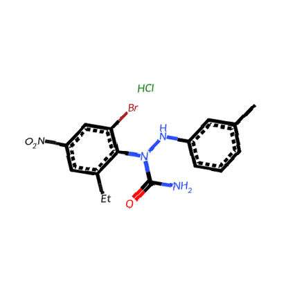 CCc1cc([N+](=O)[O-])cc(Br)c1N(Nc1cccc(C)c1)C(N)=O.Cl